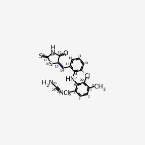 Cc1ccc(Cl)c(Nc2ccccc2/C=C2/SC(=S)NC2=O)c1Cl.N#CN